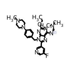 CCOc1nc(/N=C\N(C)C)c2nc(-c3cncc(F)c3)n(Cc3ccc(N4CCN(C)CC4)cc3)c2n1